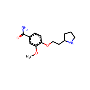 COc1cc(C(N)=O)ccc1OCCC1CCCN1